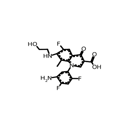 Cc1c(NCCO)c(F)cc2c(=O)c(C(=O)O)cn(-c3cc(N)c(F)cc3F)c12